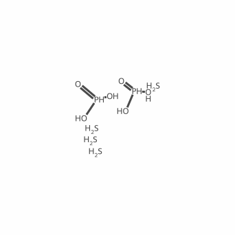 O=[PH](O)O.O=[PH](O)O.S.S.S.S